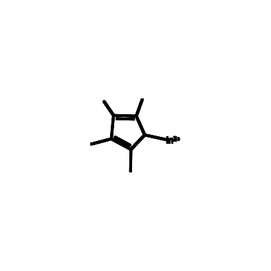 CC1=C(C)[CH]([In+2])C(C)=C1C